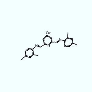 Cc1ccc(N=Cc2cccc(C=Nc3ccc(C)cc3C)n2)c(C)c1.[Co]